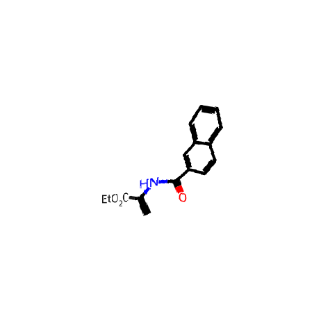 C=C(NC(=O)c1ccc2ccccc2c1)C(=O)OCC